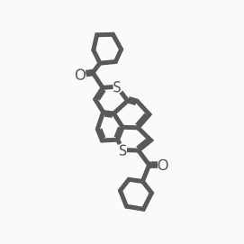 O=C(C1=Cc2ccc3c4c(ccc(c24)S1)C=C(C(=O)C1CCCCC1)S3)C1CCCCC1